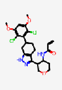 C=CC(=O)NC1CCOCC1c1n[nH]c2c1CCC(c1c(Cl)c(OC)cc(OC)c1Cl)C2